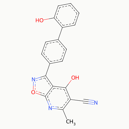 Cc1nc2onc(-c3ccc(-c4ccccc4O)cc3)c2c(O)c1C#N